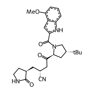 COc1cccc2[nH]c(C(=O)N3C[C@H](C(C)(C)C)C[C@H]3C(=O)C[C@H](C#N)C[C@@H]3CCNC3=O)cc12